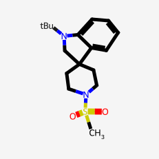 CC(C)(C)N1CC2(CCN(S(C)(=O)=O)CC2)c2ccccc21